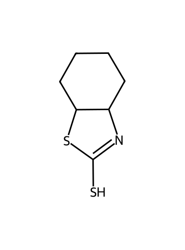 SC1=NC2CCCCC2S1